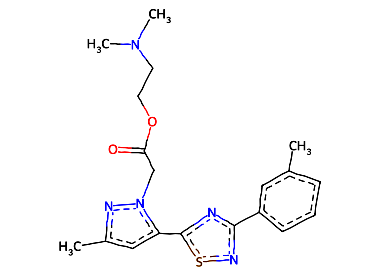 Cc1cccc(-c2nsc(-c3cc(C)nn3CC(=O)OCCN(C)C)n2)c1